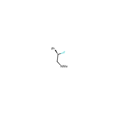 CNC[C@H](F)C(C)C